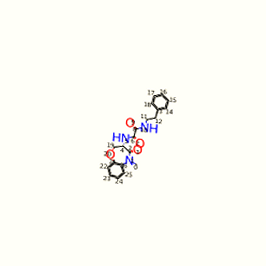 CN1C(=O)[C@@H](NC(=O)C(=O)NCCc2ccccc2)COc2ccccc21